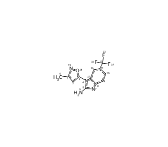 Cc1cc(-n2c(N)nc3ccc(C(F)(F)F)cc32)on1